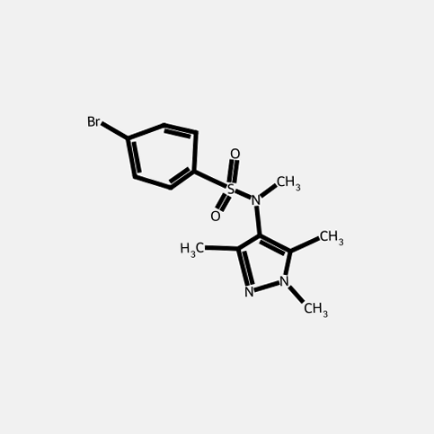 Cc1nn(C)c(C)c1N(C)S(=O)(=O)c1ccc(Br)cc1